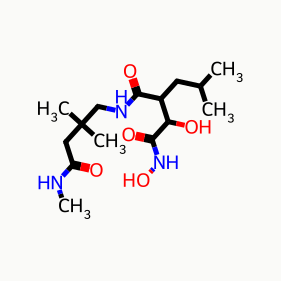 CNC(=O)CC(C)(C)CNC(=O)C(CC(C)C)C(O)C(=O)NO